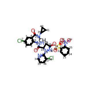 CN(C(=O)c1cc(Cl)ccc1NC(=O)C1CC(OS(=O)(=O)c2ccccc2[N+](=O)[O-])=NN1c1ncccc1Cl)C1CC1